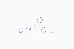 COc1ccc(C(c2ccc(SC)cc2)N(N)C(=O)c2cnc(-n3cccn3)nc2O)cc1